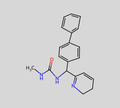 CNC(=O)NC(C1=NCCC=C1)c1ccc(-c2ccccc2)cc1